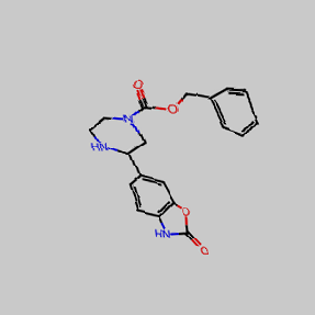 O=C(OCc1ccccc1)N1CCNC(c2ccc3[nH]c(=O)oc3c2)C1